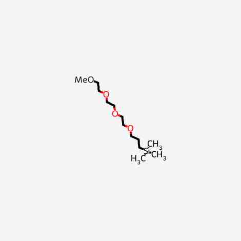 COCCOCCOCCOCCC[Si](C)(C)C